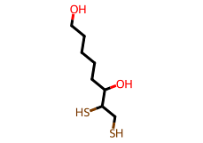 OCCCCCC(O)C(S)CS